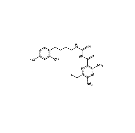 N=C(NCCCCc1ccc(O)cc1O)NC(=O)c1nc(CI)c(N)nc1N